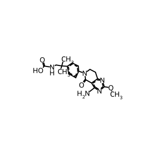 COc1nc(N)c2c(n1)CCN(c1ccc(C(C)(C)CNC(=O)O)cc1)C2=O